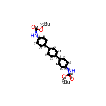 CC(C)(C)OC(=O)Nc1ccc(-c2ccc(-c3ccc(NC(=O)OC(C)(C)C)cc3)cc2)cc1